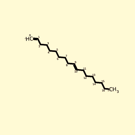 [CH]=CCCCCCCCC=CCCCCCCC